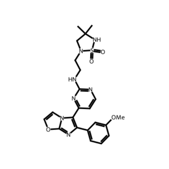 COc1cccc(-c2nc3occn3c2-c2ccnc(NCCN3CC(C)(C)NS3(=O)=O)n2)c1